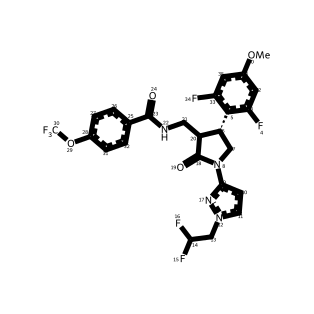 COc1cc(F)c([C@@H]2CN(c3ccn(CC(F)F)n3)C(=O)C2CNC(=O)c2ccc(OC(F)(F)F)cc2)c(F)c1